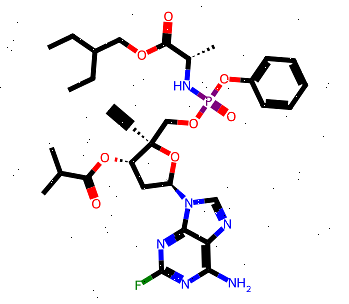 C#C[C@]1(COP(=O)(N[C@@H](C)C(=O)OCC(CC)CC)Oc2ccccc2)O[C@@H](n2cnc3c(N)nc(F)nc32)C[C@@H]1OC(=O)C(C)C